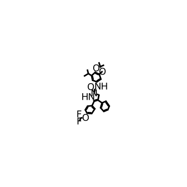 CC(C)c1cc(NC(=O)N2CC(c3ccccc3)=C(c3ccc(OC(F)F)cc3)N2)cc2c1OC(C)(C)O2